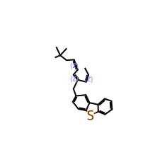 C\C=C/C(=C\C=C/CC(C)(C)C)Cc1ccc2sc3ccccc3c2c1